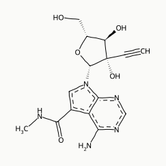 C#C[C@]1(O)[C@H](O)[C@@H](CO)O[C@H]1n1cc(C(=O)NC)c2c(N)ncnc21